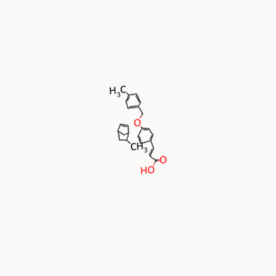 CC1CC2C=CC1C2.Cc1ccc(COc2ccc(C=CC(=O)O)cc2)cc1